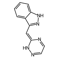 C1=NNC(=Cc2n[nH]c3ccccc23)N=C1